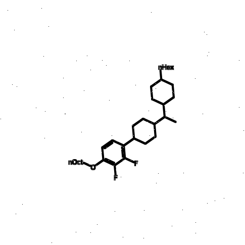 CCCCCCCCOc1ccc(C2CCC(C(C)C3CCC(CCCCCC)CC3)CC2)c(F)c1F